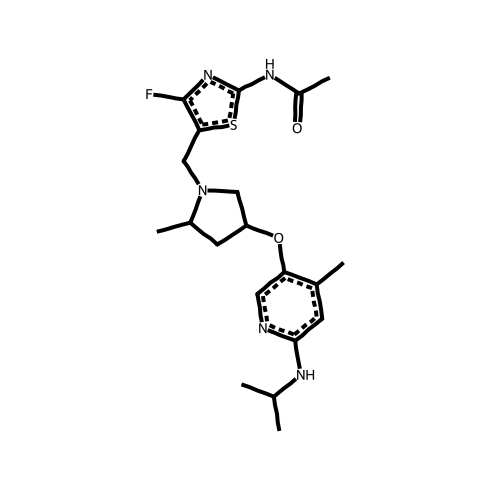 CC(=O)Nc1nc(F)c(CN2CC(Oc3cnc(NC(C)C)cc3C)CC2C)s1